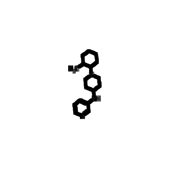 CC1CCCCC1N1CCC(Nc2cccnc2)CC1